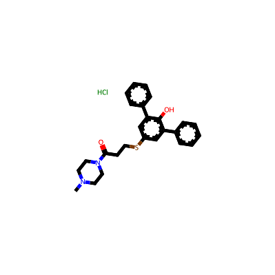 CN1CCN(C(=O)CCSc2cc(-c3ccccc3)c(O)c(-c3ccccc3)c2)CC1.Cl